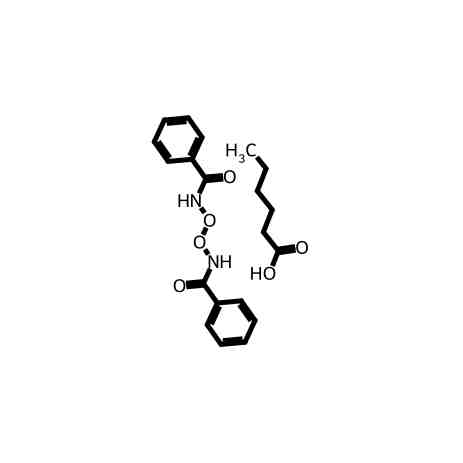 CCCCCC(=O)O.O=C(NOONC(=O)c1ccccc1)c1ccccc1